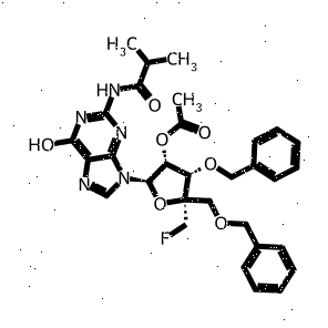 CC(=O)O[C@H]1[C@H](n2cnc3c(O)nc(NC(=O)C(C)C)nc32)O[C@](CF)(COCc2ccccc2)[C@H]1OCc1ccccc1